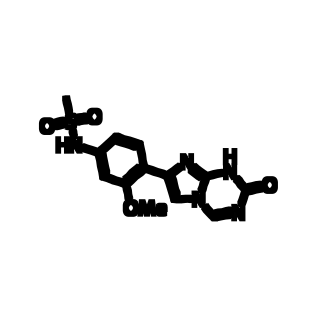 COc1cc(NS(C)(=O)=O)ccc1-c1cn2cnc(=O)[nH]c2n1